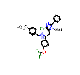 CCCCn1c(-c2ccccc2)nc(Cl)c1CC(NCc1ccc(C(=O)O)cc1)c1ccc(OC(F)F)cc1